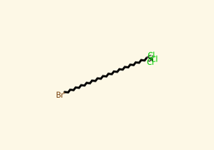 Cl[Si](Cl)(Cl)CCCCCCCCCCCCCCCCCCCCCCCCCCCCCCCBr